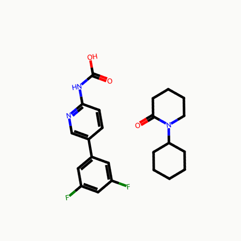 O=C(O)Nc1ccc(-c2cc(F)cc(F)c2)cn1.O=C1CCCCN1C1CCCCC1